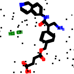 Cl.Cl.NCC(C(=O)Nc1ccc2cnccc2c1)c1ccc(COC(=O)CCC(=O)O)cc1